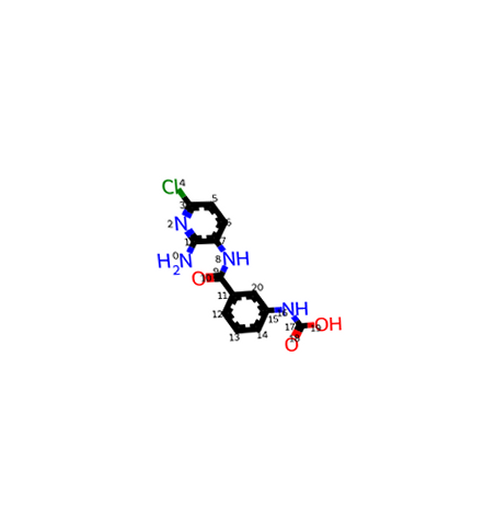 Nc1nc(Cl)ccc1NC(=O)c1cccc(NC(=O)O)c1